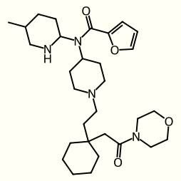 CC1CCC(N(C(=O)c2ccco2)C2CCN(CCC3(CC(=O)N4CCOCC4)CCCCC3)CC2)NC1